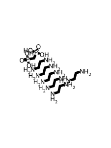 NCCN.NCCN.NCCN.NCCN.NCCN.NCCN.O=P(O)(O)CP(=O)(O)O